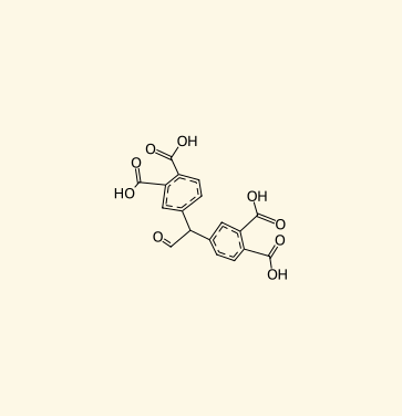 O=CC(c1ccc(C(=O)O)c(C(=O)O)c1)c1ccc(C(=O)O)c(C(=O)O)c1